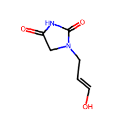 O=C1CN(C/C=C/O)C(=O)N1